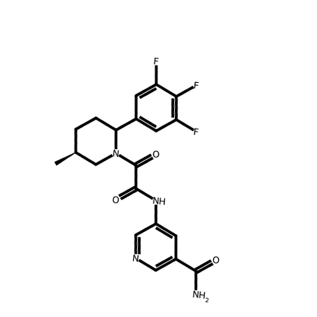 C[C@H]1CCC(c2cc(F)c(F)c(F)c2)N(C(=O)C(=O)Nc2cncc(C(N)=O)c2)C1